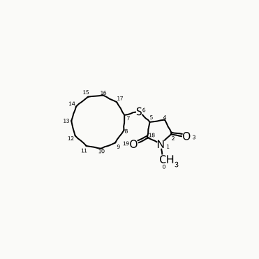 CN1C(=O)CC(SC2CCCCCCCCCC2)C1=O